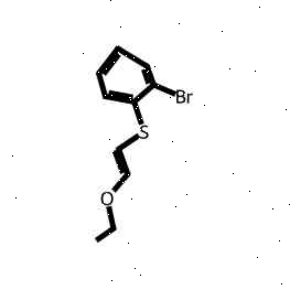 CCO/C=C/Sc1ccccc1Br